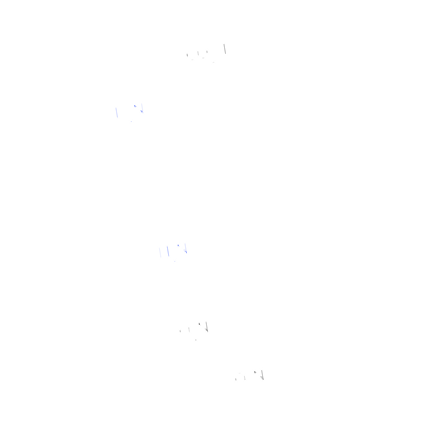 NC(CCC[C@H](N)C(=O)O)c1cccc([N+](=O)[O-])c1[N+](=O)[O-]